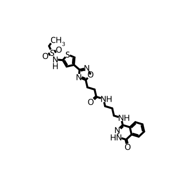 CCS(=O)(=O)Nc1cc(-c2noc(CCC(=O)NCCCNc3n[nH]c(=O)c4ccccc34)n2)cs1